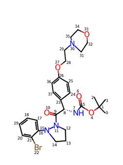 CC(C)(C)OC(=O)N[C@H](C(=O)N1CCCN1c1ccccc1Br)c1ccc(OCCN2CCOCC2)cc1